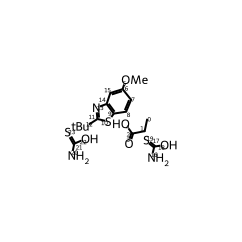 CCC(=O)O.COc1ccc2sc(C(C)(C)C)nc2c1.NC(O)=S.NC(O)=S